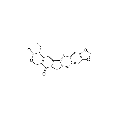 CCC1C(=O)OCc2c1cc1n(c2=O)Cc2cc3cc4c(cc3nc2-1)OCO4